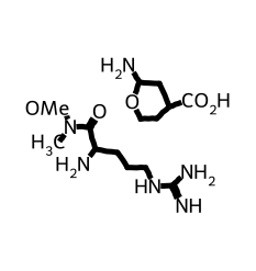 CON(C)C(=O)C(N)CCCNC(=N)N.NC1CC(C(=O)O)CCO1